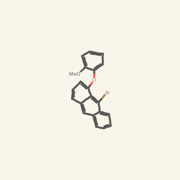 COc1ccccc1Oc1cccc2cc3ccccc3c(Br)c12